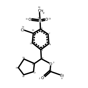 CCC(=O)OC(c1ccc(S(C)(=O)=O)c(Cl)c1)C1CCCC1